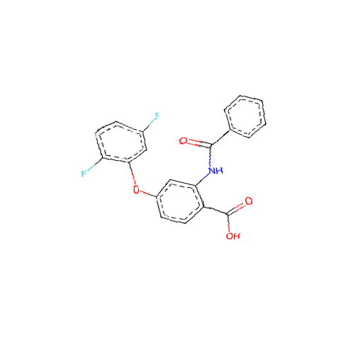 O=C(Nc1cc(Oc2cc(F)ccc2F)ccc1C(=O)O)c1ccccc1